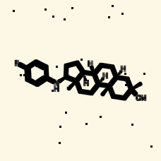 C[C@@]1(O)CC[C@@]2(C)[C@@H](CC[C@@H]3[C@@H]2CC[C@]2(C)[C@@H](Nc4ccc(F)cc4)CC[C@@H]32)C1